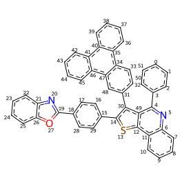 c1ccc(-c2nc3ccccc3c3sc(-c4ccc(-c5nc6ccccc6o5)cc4)c(-c4ccc5c6ccccc6c6ccccc6c5c4)c23)cc1